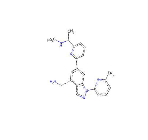 Cc1cccc(-n2ncc3c(CN)cc(-c4cccc(C(C)NC(=O)O)n4)cc32)n1